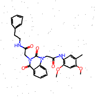 COc1cc(OC)c(NC(=O)Cn2c(=O)n(CC(=O)NCCc3ccccc3)c(=O)c3ccccc32)cc1C